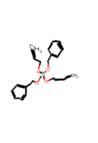 C=CC[O][Ti]([O]CC=C)([O]Cc1ccccc1)[O]Cc1ccccc1